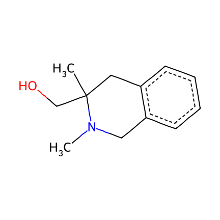 CN1Cc2ccccc2CC1(C)CO